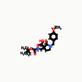 COc1ccc(CN2CCC(CNC(=O)OC(C)(C)C)(C(=O)O)C2=O)cc1